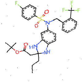 CCCC1(CC(=O)OC(C)(C)C)Nc2ccc(N(Cc3ccccc3C(F)(F)F)S(=O)(=O)c3ccc(F)cc3)cc2N1